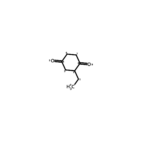 CCC1CC(=O)CCC1=O